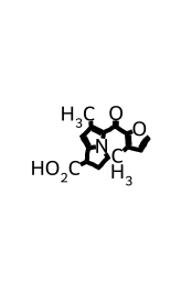 Cc1ccoc1C(=O)c1c(C)cc2n1CCC2C(=O)O